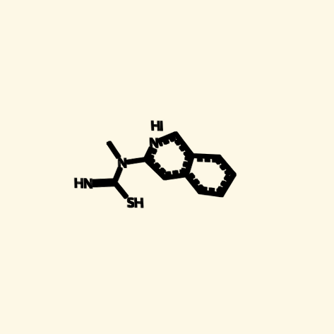 CN(C(=N)S)c1cc2ccccc2cn1.I